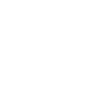 CCCC(CC)OC(=O)C(=O)C(C)=Cc1ccccc1